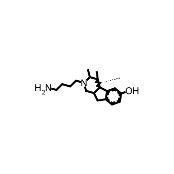 CC1N(CCCCN)CC2Cc3ccc(O)cc3C23C[C@@H](C)CC13C